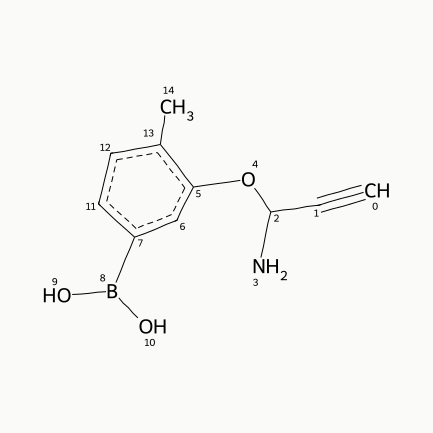 C#CC(N)Oc1cc(B(O)O)ccc1C